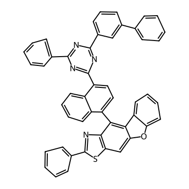 c1ccc(-c2cccc(-c3nc(-c4ccccc4)nc(-c4ccc(-c5c6nc(-c7ccccc7)sc6cc6oc7ccccc7c56)c5ccccc45)n3)c2)cc1